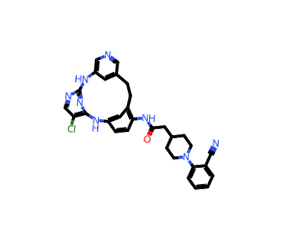 N#Cc1ccccc1N1CCC(CC(=O)Nc2ccc3cc2CCc2cncc(c2)Nc2ncc(Cl)c(n2)N3)CC1